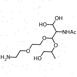 CC(=O)NC(C(O)O)C(OCCOCCN)OC(C)CO